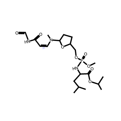 COP(=O)(NC(CC(C)C)C(=O)OC(C)C)OCC1CCC(N(C)/C=C\C(=O)NC=O)O1